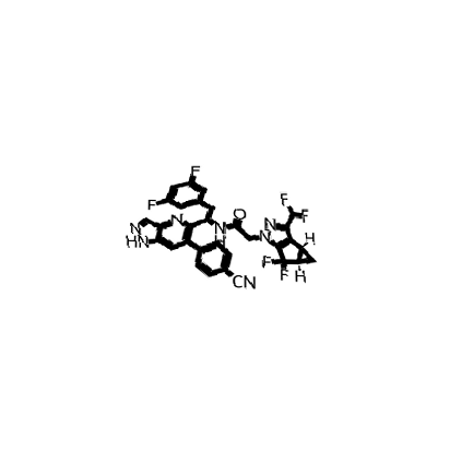 N#Cc1ccc(-c2cc3[nH]ncc3nc2C(Cc2cc(F)cc(F)c2)NC(=O)Cn2nc(C(F)F)c3c2C(F)(F)[C@@H]2C[C@H]32)cc1